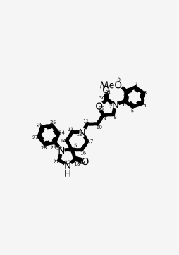 COc1ccccc1N1CC(CCN2CCC3(CC2)C(=O)NCN3c2ccccc2)OC1=O